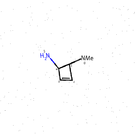 CNC1C=CC1N